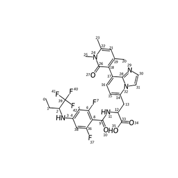 CCC(Nc1cc(F)c(C(=O)NC(Cc2ccc(-c3c(C)cc(C)n(C)c3=O)c3nccn23)C(=O)O)c(F)c1)C(F)(F)F